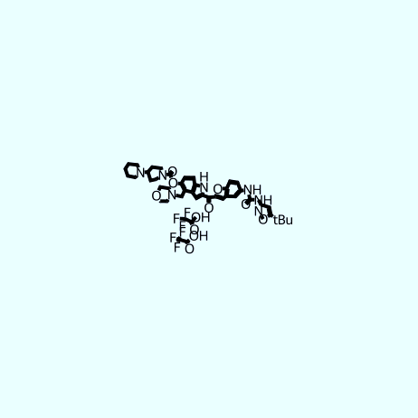 CC(C)(C)c1cc(NC(=O)Nc2ccc3oc(C(=O)c4cc5c(CN6CCOCC6)c(OC(=O)N6CCC(N7CCCCC7)CC6)ccc5[nH]4)cc3c2)no1.O=C(O)C(F)(F)F.O=C(O)C(F)(F)F